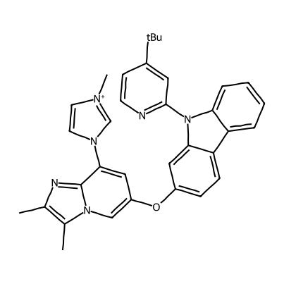 Cc1nc2c(-n3cc[n+](C)c3)cc(Oc3ccc4c5ccccc5n(-c5cc(C(C)(C)C)ccn5)c4c3)cn2c1C